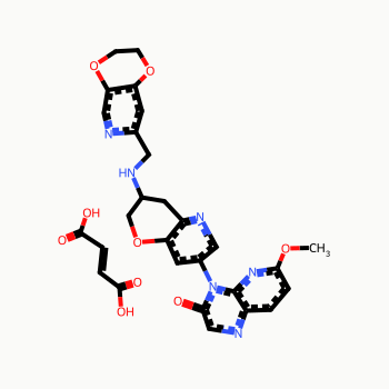 COc1ccc2ncc(=O)n(-c3cnc4c(c3)OCC(NCc3cc5c(cn3)OCCO5)C4)c2n1.O=C(O)/C=C/C(=O)O